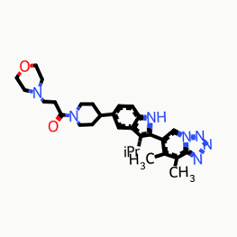 Cc1c(-c2[nH]c3ccc(C4CCN(C(=O)CCN5CCOCC5)CC4)cc3c2C(C)C)cn2nnnc2c1C